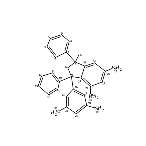 CC1(c2ccccc2)CC(c2ccccc2)(c2cc(N)cc(N)c2)c2c(N)cc(N)cc21